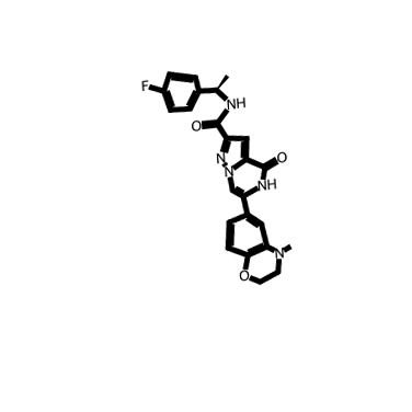 C[C@@H](NC(=O)c1cc2c(=O)[nH]c(-c3ccc4c(c3)N(C)CCO4)cn2n1)c1ccc(F)cc1